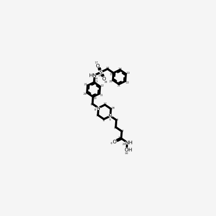 O=C(CCCN1CCN(Cc2ccc(NS(=O)(=O)Cc3ccccc3)cc2)CC1)NO